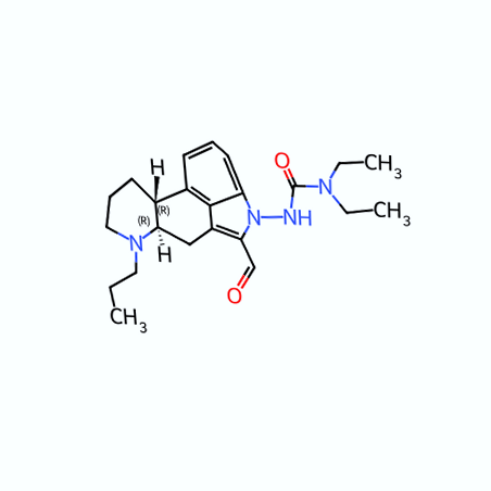 CCCN1CCC[C@@H]2c3cccc4c3c(c(C=O)n4NC(=O)N(CC)CC)C[C@H]21